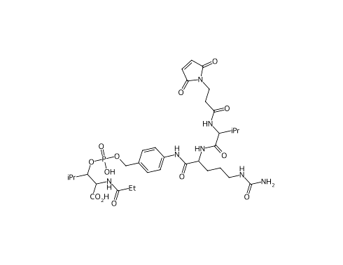 CCC(=O)NC(C(=O)O)C(OP(=O)(O)OCc1ccc(NC(=O)C(CCCNC(N)=O)NC(=O)C(NC(=O)CCN2C(=O)C=CC2=O)C(C)C)cc1)C(C)C